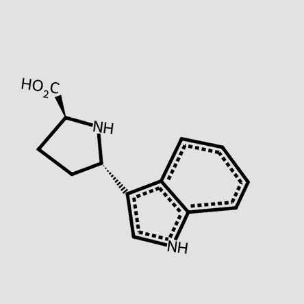 O=C(O)[C@@H]1CC[C@@H](c2c[nH]c3ccccc23)N1